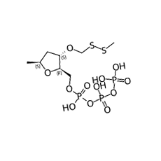 CSSCO[C@H]1C[C@H](C)O[C@@H]1COP(=O)(O)OP(=O)(O)OP(=O)(O)O